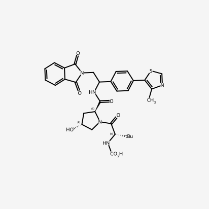 Cc1ncsc1-c1ccc(C(CN2C(=O)c3ccccc3C2=O)NC(=O)[C@@H]2C[C@@H](O)CN2C(=O)[C@@H](NC(=O)O)C(C)(C)C)cc1